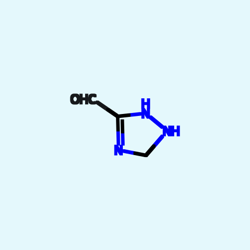 O=CC1=NCNN1